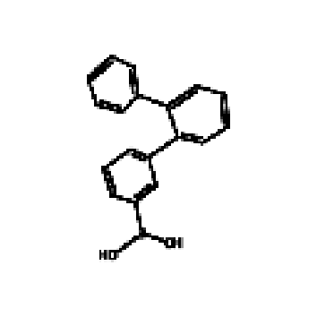 OB(O)c1cccc(-c2ccccc2-c2ccccc2)c1